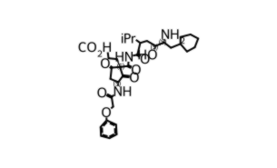 CC(C)C(C[C@H](O)[C@@H](N)CC1CCCCC1)C(=O)NC(=O)[C@@]1(CCC(=O)O)C(=O)C[C@H](NC(=O)COc2ccccc2)C1=O